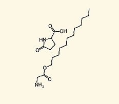 CCCCCCCCCCCCOC(=O)CN.O=C1CCC(C(=O)O)N1